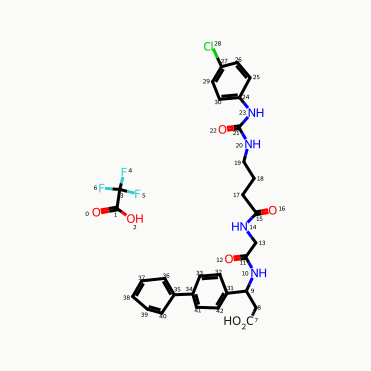 O=C(O)C(F)(F)F.O=C(O)CC(NC(=O)CNC(=O)CCCNC(=O)Nc1ccc(Cl)cc1)c1ccc(-c2ccccc2)cc1